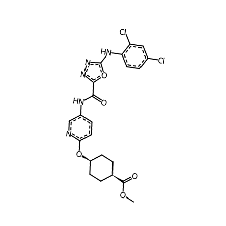 COC(=O)[C@H]1CC[C@@H](Oc2ccc(NC(=O)c3nnc(Nc4ccc(Cl)cc4Cl)o3)cn2)CC1